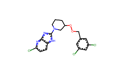 Clc1cc(Cl)cc(COOC2CCCN(c3nc4nc(Cl)ccc4[nH]3)C2)c1